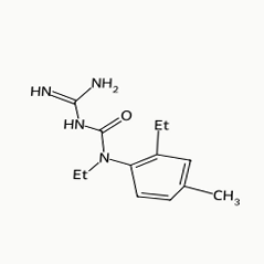 CCc1cc(C)ccc1N(CC)C(=O)NC(=N)N